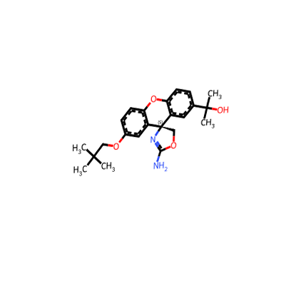 CC(C)(C)COc1ccc2c(c1)[C@]1(COC(N)=N1)c1cc(C(C)(C)O)ccc1O2